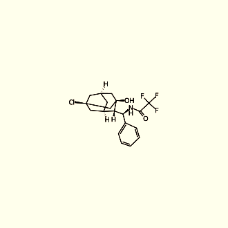 O=C(N[C@@H](c1ccccc1)[C@@H]1[C@@H]2C[C@H]3C[C@@](Cl)(C2)C[C@]1(O)C3)C(F)(F)F